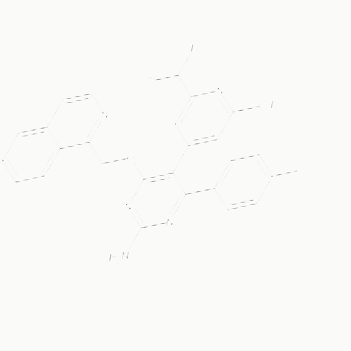 Cc1cc(-c2c(OCc3nccc4ccccc34)nc(N)nc2-c2ccc(F)cc2)cc(C(F)F)n1